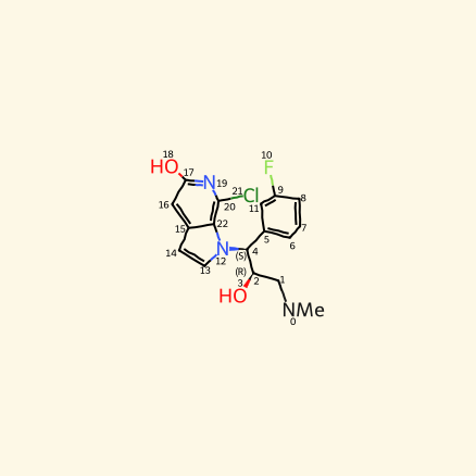 CNC[C@@H](O)[C@H](c1cccc(F)c1)n1ccc2cc(O)nc(Cl)c21